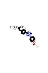 CC(Cc1ccc(-c2ncn(-c3ccc(OC(F)(F)F)cc3)n2)cc1)C(=O)O